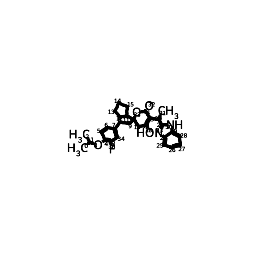 CC(C)Oc1ccc(CCC2(C3CCCC3)CC(O)=C(C(C)c3nc4ccccc4[nH]3)C(=O)O2)cc1F